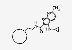 Cc1ccc2c(NC3CC3)c(C(=O)NCCC3CCCCCCCCC3)sc2n1